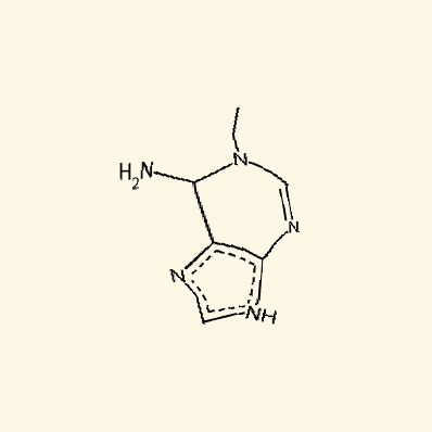 CN1C=Nc2[nH]cnc2C1N